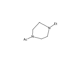 [CH2]C(=O)N1CCN(CC)CC1